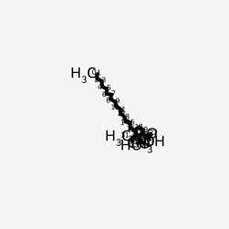 CCCCCCCCCCCCCCCCCc1ccc(C(=O)O)c(C(=O)O)c1C(C)C